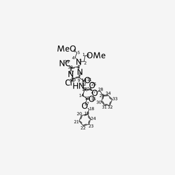 COCCN(CCOC)c1nc(C(=O)N[C@H](CC(=O)OCc2ccccc2)C(=O)OCc2ccccc2)c(Cl)nc1C#N